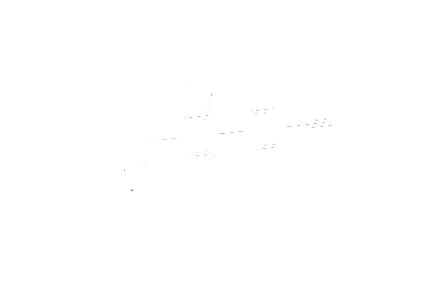 C#Cc1ccc(-c2nnc(NC3CC(C)(OC)C3)c3sncc23)c(O)c1